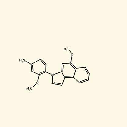 COc1cc(N)ccc1-n1[c]cc2c3ccccc3c(OC)cc21